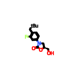 CC(C)(C)Cc1ccc(N2C[C@@H](CO)OC2=O)cc1F